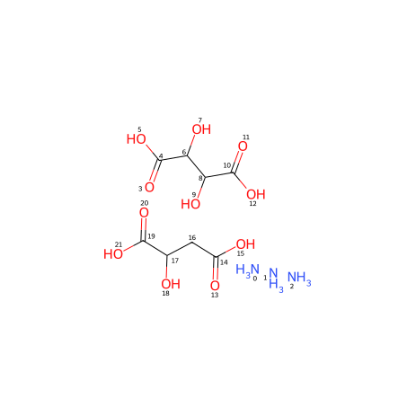 N.N.N.O=C(O)C(O)C(O)C(=O)O.O=C(O)CC(O)C(=O)O